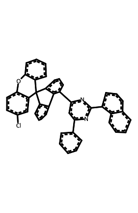 Clc1ccc2c(c1)C1(c3ccccc3O2)c2ccccc2-c2c(-c3cc(-c4ccccc4)nc(-c4cccc5ccccc45)n3)cccc21